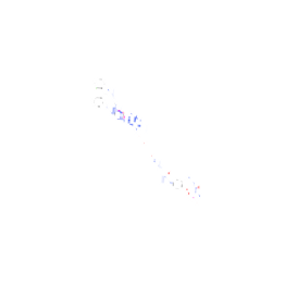 CN(Cc1cc(NC(=O)CCNCCOCCOCCN/C=C(\N=N)c2ccc(\N=C3/C(=C\N=C\N)CN=C(c4c(F)cccc4F)c4cc(Cl)ccc43)cc2)ccc1C=O)C1CCC(=O)NC1=O